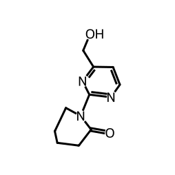 O=C1CCCCN1c1nccc(CO)n1